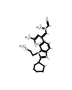 COCCn1c(C2CCCCC2)nc2ccc(/C(C=C(C)C)=C/N(C)C=O)cc21